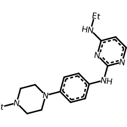 CCNc1ccnc(Nc2ccc(N3CCN(CC)CC3)cc2)n1